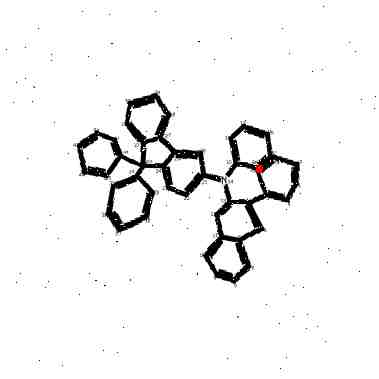 c1ccc(-c2cc3ccccc3cc2N(c2ccccc2)c2ccc3c(c2)-c2ccccc2C3(c2ccccc2)c2ccccc2)cc1